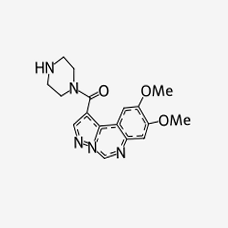 COc1cc2ncn3ncc(C(=O)N4CCNCC4)c3c2cc1OC